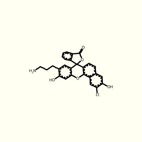 NCCCc1cc2c(cc1O)Oc1c(ccc3cc(O)c(Cl)cc13)C21OC(=O)c2ccccc21